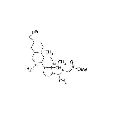 CCCOC1CCC2(C)C(C1)C[C@@H](C)C1C2C[C@H](C)C2(C)C(C(C)CCC(=O)OC)CCC12